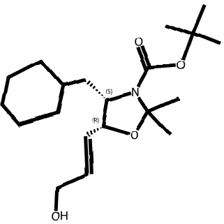 CC(C)(C)OC(=O)N1[C@@H](CC2CCCCC2)[C@@H](C=CCO)OC1(C)C